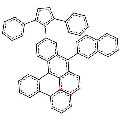 c1ccc(-c2ccccc2-c2c3ccccc3c(-c3ccc4ccccc4c3)c3cc(-n4c(-c5ccccc5)ccc4-c4ccccc4)ccc23)cc1